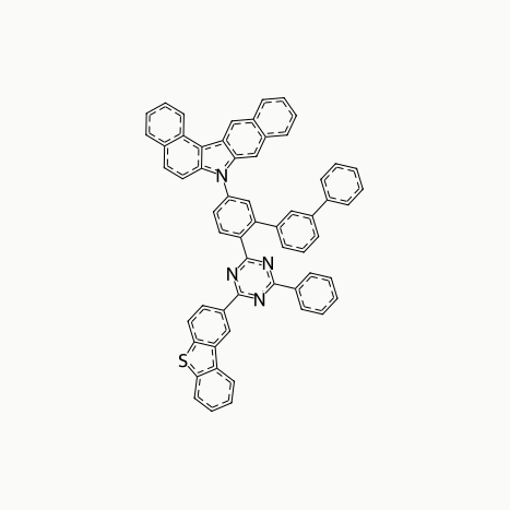 c1ccc(-c2cccc(-c3cc(-n4c5cc6ccccc6cc5c5c6ccccc6ccc54)ccc3-c3nc(-c4ccccc4)nc(-c4ccc5sc6ccccc6c5c4)n3)c2)cc1